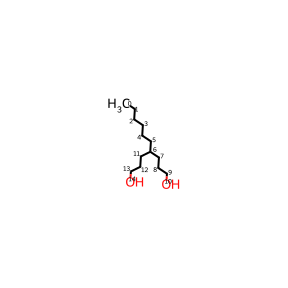 CCCCCCC(CCCO)CCCO